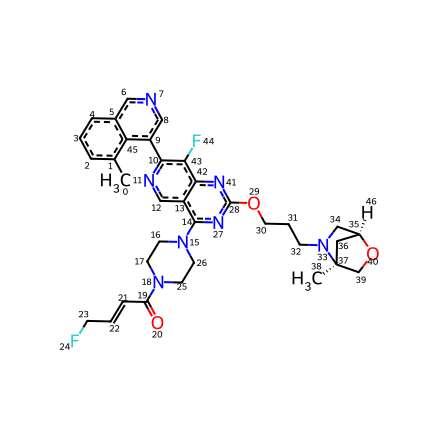 Cc1cccc2cncc(-c3ncc4c(N5CCN(C(=O)/C=C/CF)CC5)nc(OCCCN5C[C@@H]6C[C@@]5(C)CO6)nc4c3F)c12